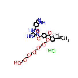 CC#Cc1ccc(OCCOCCOCCOCCOCCOCCO)c(C(=O)c2ccc(C(=O)N[C@@H]3CNC[C@H]3NC(=O)c3ccc4cn[nH]c4c3)cc2)c1C.Cl